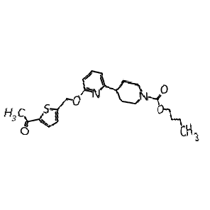 CCCCOC(=O)N1CCC(c2cccc(OCc3ccc(C(C)=O)s3)n2)CC1